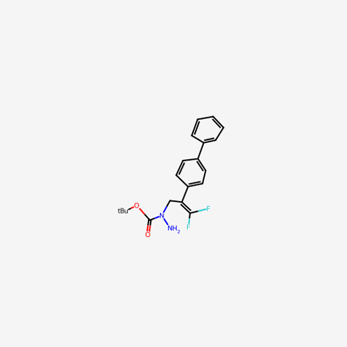 CC(C)(C)OC(=O)N(N)CC(=C(F)F)c1ccc(-c2ccccc2)cc1